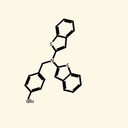 CC(C)(C)c1ccc(CN(c2cc3ccccc3s2)c2cc3ccccc3s2)cc1